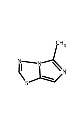 Cc1ncc2scnn12